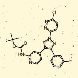 CC(C)(C)OC(=O)Nc1cc(-c2cn(-c3ccc(Cl)nn3)nc2-c2cccc(F)c2)ccn1